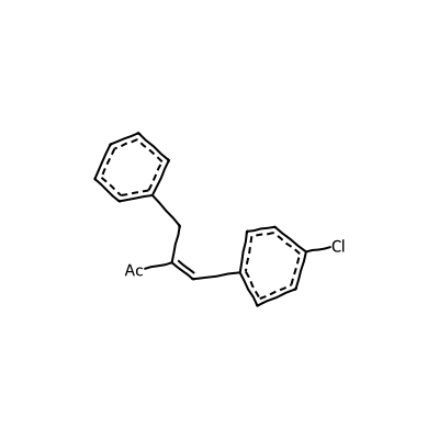 CC(=O)C(=Cc1ccc(Cl)cc1)Cc1ccccc1